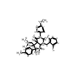 [2H]C12C(=O)N(c3ccc(OC)nn3)C(=O)N(Cc3c(F)cccc3F)C1S([2H])([2H])C([2H])(c1ccc(N)cc1)C2([2H])CN(C)C